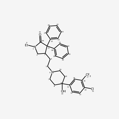 CCN1CC(CCN2CCC(O)(c3ccc(Cl)c(C(F)(F)F)c3)CC2)C(c2ccccc2)(c2ccccc2)C1=O